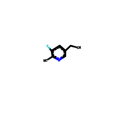 N#CCc1cnc(C#N)c(F)c1